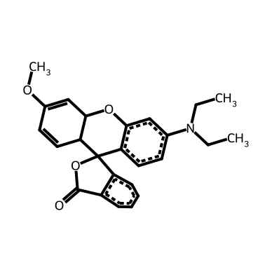 CCN(CC)c1ccc2c(c1)OC1C=C(OC)C=CC1C21OC(=O)c2ccccc21